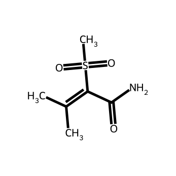 CC(C)=C(C(N)=O)S(C)(=O)=O